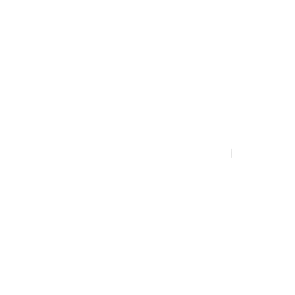 C[CH]C(F)(c1ccccc1)c1ccccc1